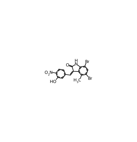 Cc1c(Br)cc(Br)c2c1C(=Cc1ccc([N+](=O)[O-])c(O)c1)C(=O)N2